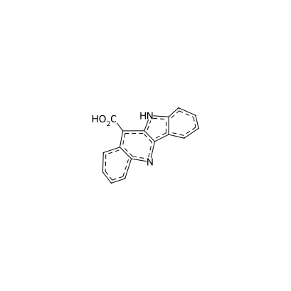 O=C(O)c1c2ccccc2nc2c1[nH]c1ccccc12